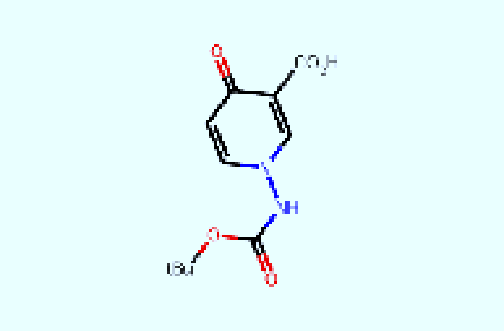 CC(C)(C)OC(=O)Nn1ccc(=O)c(C(=O)O)c1